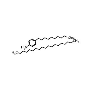 CCCCCCCCCCCCCCCCCCC.CCCCCCCCCCCCCCCCCCCc1ccc(N)cc1